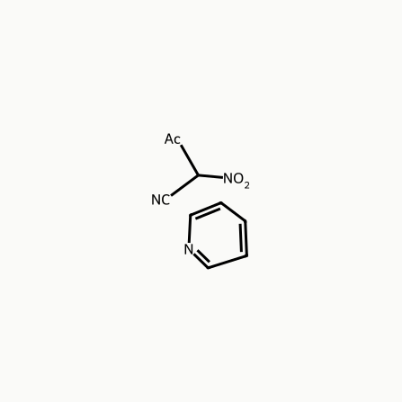 CC(=O)C(C#N)[N+](=O)[O-].c1ccncc1